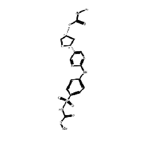 CC(C)NC(=O)O[C@H]1CO[C@@H](c2cnc(Nc3ccc(S(=O)(=O)NC(=O)OC(C)(C)C)cc3)nc2)C1